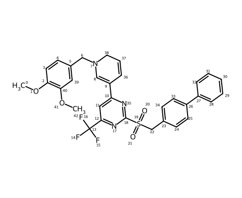 COc1ccc(CN2C=C(c3cc(C(F)(F)F)nc(S(=O)(=O)Cc4ccc(-c5ccccc5)cc4)n3)C=CC2)cc1OC